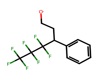 [O]CCC(c1ccccc1)C(F)(F)C(F)(F)C(F)(F)F